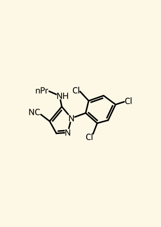 CCCNc1c(C#N)cnn1-c1c(Cl)cc(Cl)cc1Cl